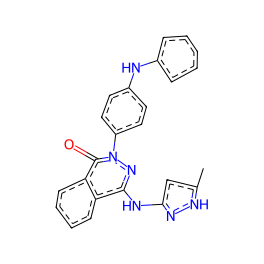 Cc1cc(Nc2nn(-c3ccc(Nc4ccccc4)cc3)c(=O)c3ccccc23)n[nH]1